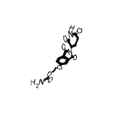 NC(=O)OCCOc1ccc2c(c1)C(=O)N(C1CCC(=O)NC1=O)C2=O